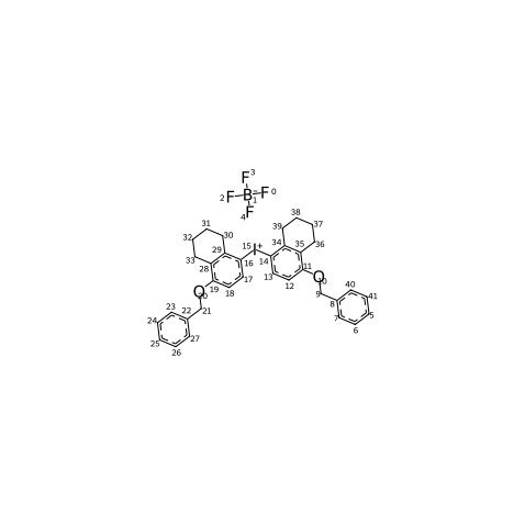 F[B-](F)(F)F.c1ccc(COc2ccc([I+]c3ccc(OCc4ccccc4)c4c3CCCC4)c3c2CCCC3)cc1